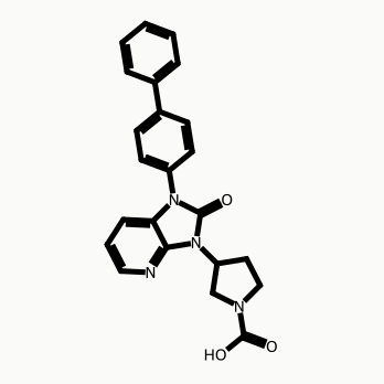 O=C(O)N1CCC(n2c(=O)n(-c3ccc(-c4ccccc4)cc3)c3cccnc32)C1